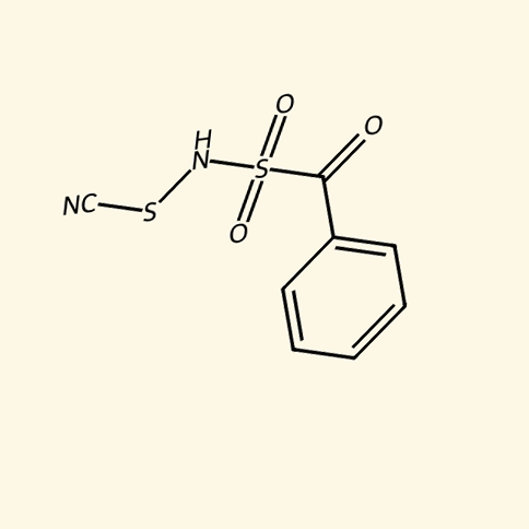 N#CSNS(=O)(=O)C(=O)c1ccccc1